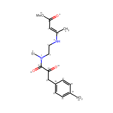 CCN(CCNC(C)=CC(=O)OC)C(=O)C(=O)Cc1ccc([N+](=O)[O-])cc1